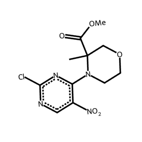 COC(=O)C1(C)COCCN1c1nc(Cl)ncc1[N+](=O)[O-]